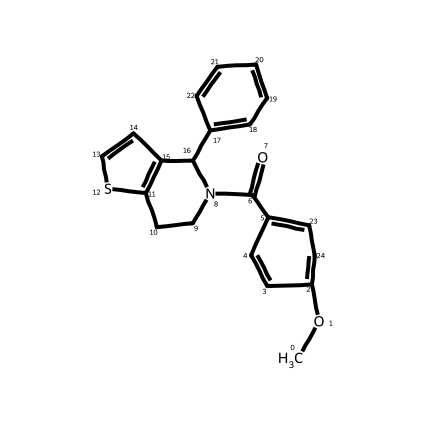 COc1ccc(C(=O)N2CCc3sccc3C2c2ccccc2)cc1